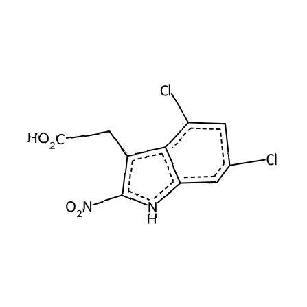 O=C(O)Cc1c([N+](=O)[O-])[nH]c2cc(Cl)cc(Cl)c12